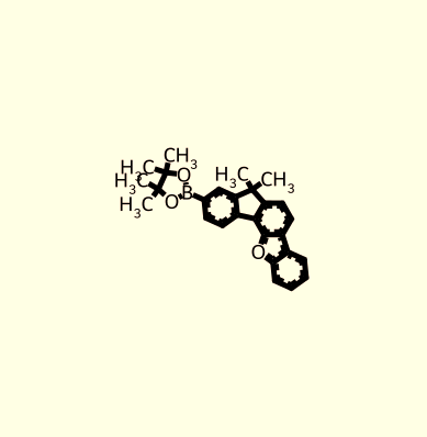 CC1(C)c2cc(B3OC(C)(C)C(C)(C)O3)ccc2-c2c1ccc1c2oc2ccccc21